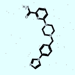 NC(=O)c1[c]ccc(N2CCN(Cc3ccc(-n4ccnc4)cc3)CC2)n1